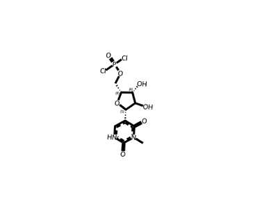 Cn1c(=O)[nH]cc([C@@H]2O[C@H](COP(=O)(Cl)Cl)[C@H](O)C2O)c1=O